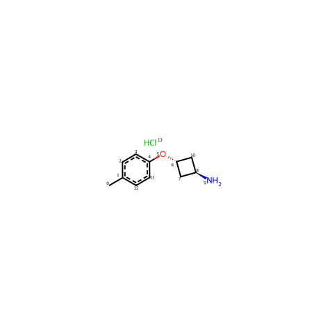 Cc1ccc(O[C@H]2C[C@H](N)C2)cc1.Cl